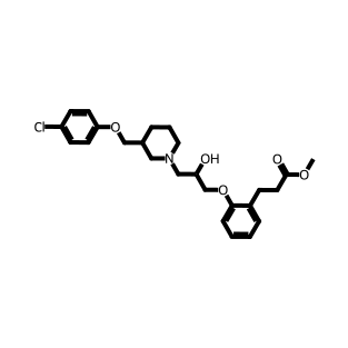 COC(=O)CCc1ccccc1OCC(O)CN1CCCC(COc2ccc(Cl)cc2)C1